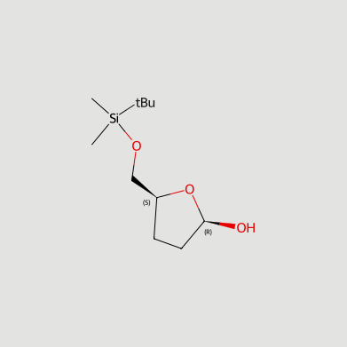 CC(C)(C)[Si](C)(C)OC[C@@H]1CC[C@H](O)O1